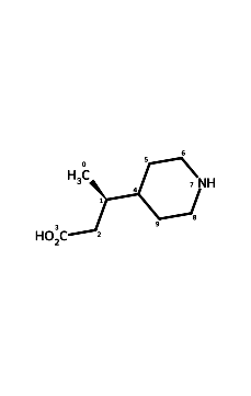 C[C@H](CC(=O)O)C1CCNCC1